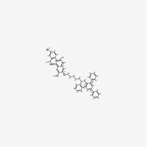 COc1cc2c(NC(C)c3cccc(Br)c3)nc(C)nc2cc1OCCCCCCC[n+]1c(-c2ccccc2)cc(-c2ccccc2)cc1-c1ccccc1